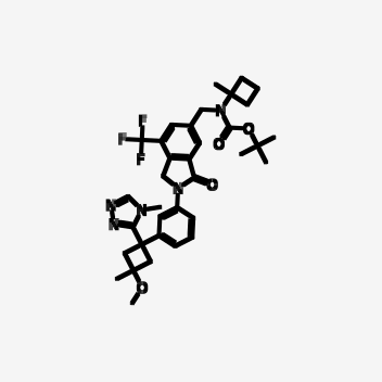 COC1(C)CC(c2cccc(N3Cc4c(cc(CN(C(=O)OC(C)(C)C)C5(C)CCC5)cc4C(F)(F)F)C3=O)c2)(c2nncn2C)C1